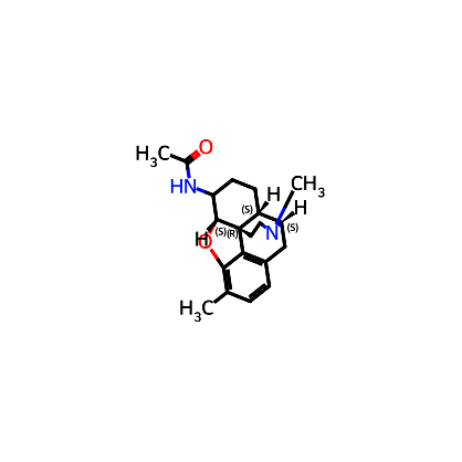 CC(=O)NC1CC[C@@H]2[C@@H]3Cc4ccc(C)c5c4[C@]2(CCN3C)[C@@H]1O5